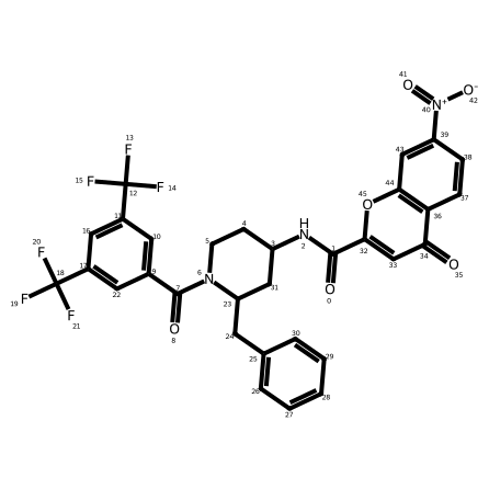 O=C(NC1CCN(C(=O)c2cc(C(F)(F)F)cc(C(F)(F)F)c2)C(Cc2ccccc2)C1)c1cc(=O)c2ccc([N+](=O)[O-])cc2o1